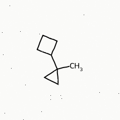 CC1(C2CCC2)CC1